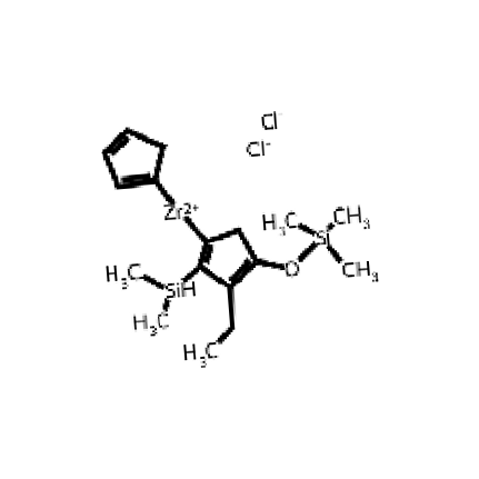 CCC1=C(O[Si](C)(C)C)C[C]([Zr+2][C]2=CC=CC2)=C1[SiH](C)C.[Cl-].[Cl-]